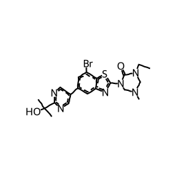 CCN1CN(C)CN(c2nc3cc(-c4cnc(C(C)(C)O)nc4)cc(Br)c3s2)C1=O